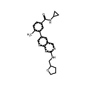 Cc1ccc(C(=O)NC2CC2)cc1-c1cnc2nc(NCC3CCCO3)ncc2c1